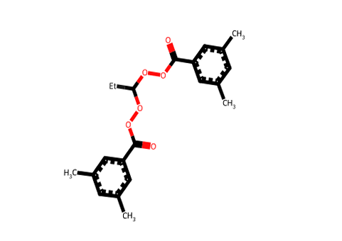 [CH2]C[C](OOC(=O)c1cc(C)cc(C)c1)OOC(=O)c1cc(C)cc(C)c1